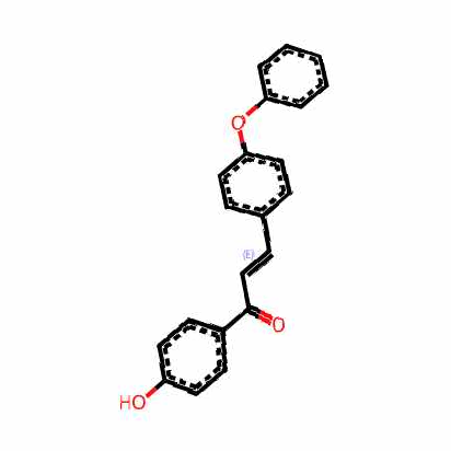 O=C(/C=C/c1ccc(Oc2ccccc2)cc1)c1ccc(O)cc1